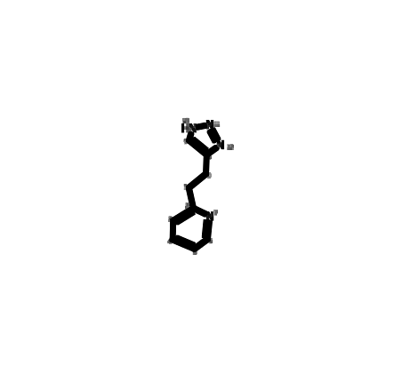 [CH](Cc1ccccn1)c1c[nH]nn1